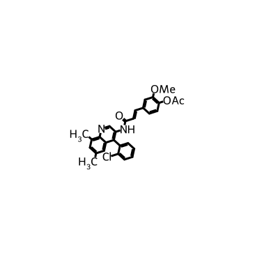 COc1cc(C=CC(=O)Nc2cnc3c(C)cc(C)cc3c2-c2ccccc2Cl)ccc1OC(C)=O